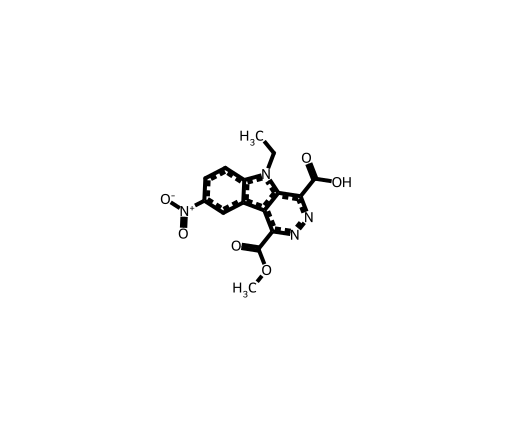 CCn1c2ccc([N+](=O)[O-])cc2c2c(C(=O)OC)nnc(C(=O)O)c21